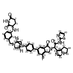 O=C1CCC(Nc2cccc(CN3C[C@@H]4C[C@H]3CN4c3ccc(-c4cc(F)c5c(c4)C(=O)N(C(C(=O)Nc4nccs4)c4ncn6c4CCC6)C5)cc3)c2)C(=O)N1